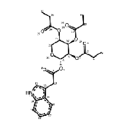 CCC(=O)O[C@H]1[C@H](OC(=O)Cc2c[nH]c3ccccc23)OC[C@@H](OC(=O)CC)[C@H]1OC(=O)CC